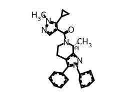 C[C@@H]1c2nn(-c3ccccc3)c(-c3ccccc3)c2CCN1C(=O)c1cnn(C)c1C1CC1